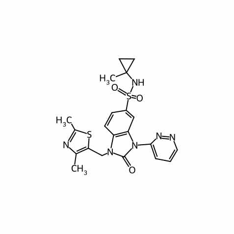 Cc1nc(C)c(Cn2c(=O)n(-c3cccnn3)c3cc(S(=O)(=O)NC4(C)CC4)ccc32)s1